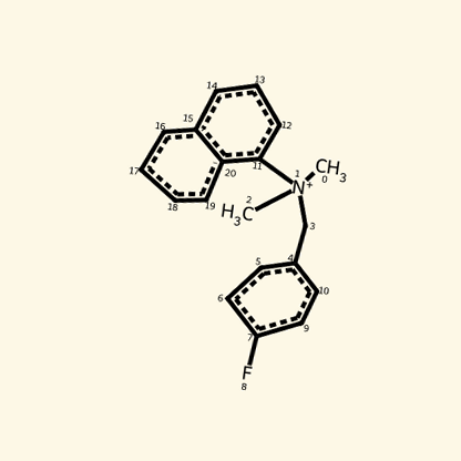 C[N+](C)(Cc1ccc(F)cc1)c1cccc2ccccc12